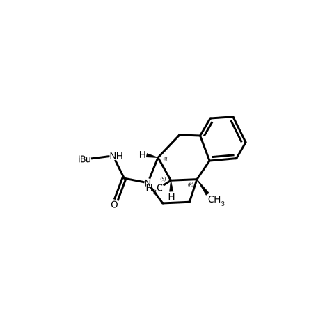 CCC(C)NC(=O)N1CC[C@@]2(C)c3ccccc3C[C@@H]1[C@H]2C